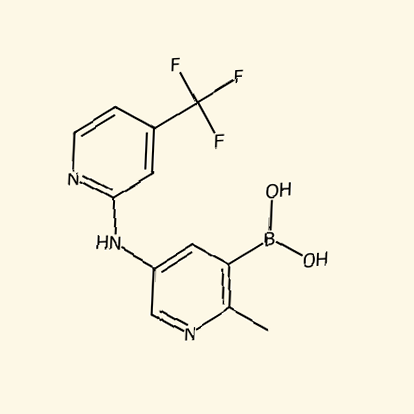 Cc1ncc(Nc2cc(C(F)(F)F)ccn2)cc1B(O)O